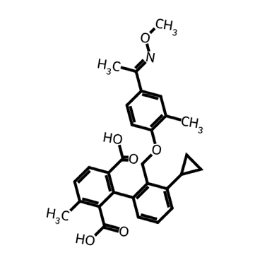 CON=C(C)c1ccc(OCc2c(-c3c(C(=O)O)ccc(C)c3C(=O)O)cccc2C2CC2)c(C)c1